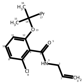 C=CCNC(=O)c1c(Cl)cccc1OC(C)(C)C(C)C